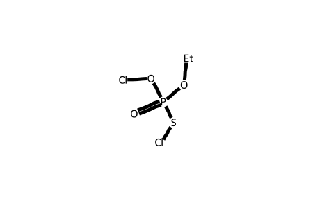 CCOP(=O)(OCl)SCl